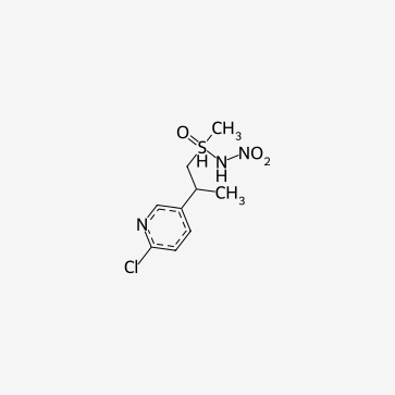 CC(C[SH](C)(=O)N[N+](=O)[O-])c1ccc(Cl)nc1